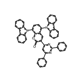 O=c1oc2c(-n3c4ccccc4c4ccccc43)ccc(-n3c4ccccc4c4ccccc43)c2cc1-c1cc(-c2ccccc2)nc(-c2ccccc2)n1